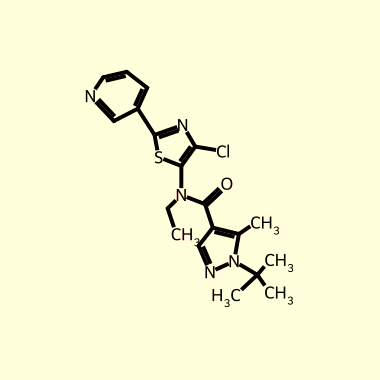 CCN(C(=O)c1cnn(C(C)(C)C)c1C)c1sc(-c2cccnc2)nc1Cl